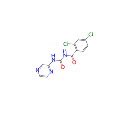 O=C(NC(=O)c1ccc(Cl)cc1Cl)Nc1cnccn1